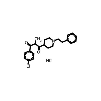 CC(C(=O)c1ccc(Cl)cc1)C(=O)C1CCN(CCc2ccccc2)CC1.Cl